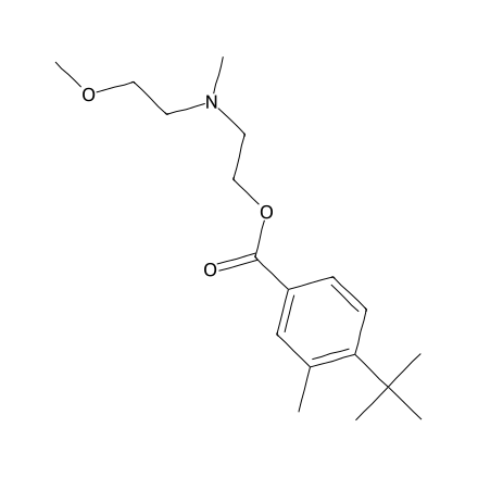 COCCN(C)CCOC(=O)c1ccc(C(C)(C)C)c(C)c1